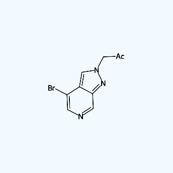 CC(=O)Cn1cc2c(Br)cncc2n1